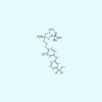 CCC[C@@](N)(CCCc1ccc(Sc2cccc(C(F)(F)F)c2)cc1Cl)COP(=O)(O)O